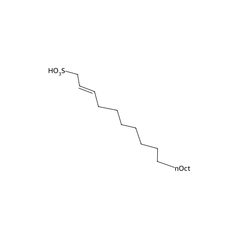 CCCCCCCCCCCCCCCC=CCS(=O)(=O)O